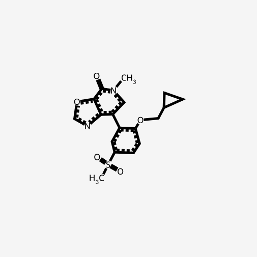 Cn1cc(-c2cc(S(C)(=O)=O)ccc2OCC2CC2)c2ncoc2c1=O